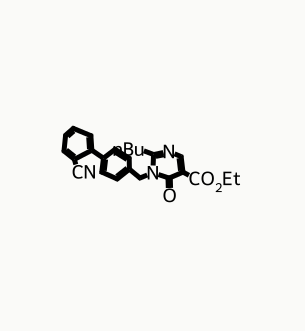 CCCCc1ncc(C(=O)OCC)c(=O)n1Cc1ccc(-c2ccccc2C#N)cc1